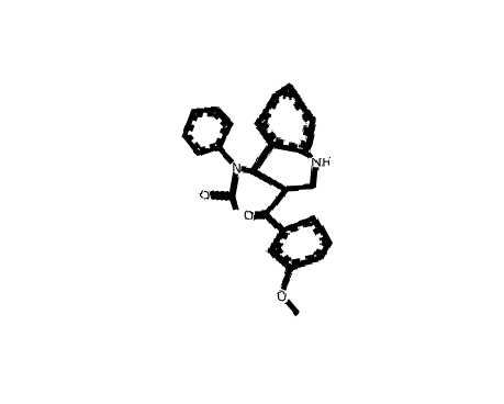 COc1cccc(C(=O)C2CNc3ccccc3C2N(C(C)=O)c2ccccc2)c1